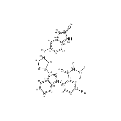 CC(C)N(C)C(=O)c1cc(F)ccc1-n1cc(C2CCN(Cc3ccc4[nH]c(=O)[nH]c4c3)C2)c2ccncc21